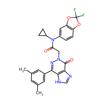 Cc1cc(C)cc(-c2nn(CC(=O)N(c3ccc4c(c3)OC(F)(F)O4)C3CC3)c(=O)c3nc[nH]c23)c1